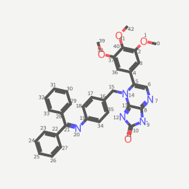 COc1cc(C2=CN=C3[N]C(=O)N=C3N2Cc2ccc(N=C(c3ccccc3)c3ccccc3)cc2)cc(OC)c1OC